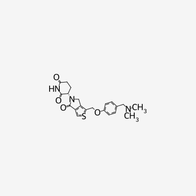 CN(C)Cc1ccc(OCc2scc3c2CN([C@H]2CCC(=O)NC2=O)C3=O)cc1